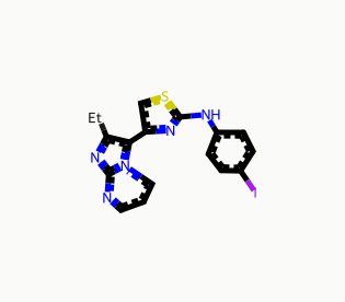 CCc1nc2ncccn2c1-c1csc(Nc2ccc(I)cc2)n1